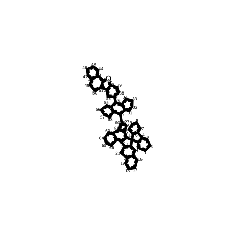 c1ccc2c(c1)-c1ccccc1C21c2cc3ccccc3cc2-c2c1c1ccc(-c3c4ccccc4c(-c4ccc5oc6c7ccccc7ccc6c5c4)c4ccccc34)cc1c1ccccc21